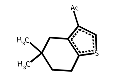 CC(=O)c1csc2c1CC(C)(C)CC2